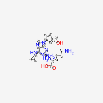 NCCCCC(N)C(=O)O.Nc1nc(NC2CC2)c2ncn([C@H]3C=C[C@@H](CO)C3)c2n1